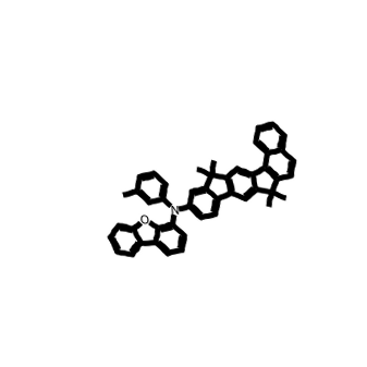 Cc1cccc(N(c2ccc3c(c2)C(C)(C)c2cc4c(cc2-3)C(C)(C)c2ccc3ccccc3c2-4)c2cccc3c2oc2ccccc23)c1